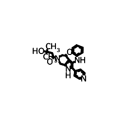 CC(C)(O)CC(=O)N1CC(=O)c2c([nH]c(-c3ccncc3)c2Nc2ccccc2)C1